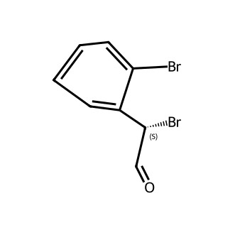 O=C[C@@H](Br)c1ccccc1Br